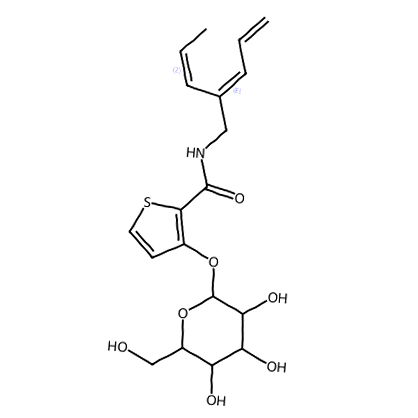 C=C/C=C(\C=C/C)CNC(=O)c1sccc1OC1OC(CO)C(O)C(O)C1O